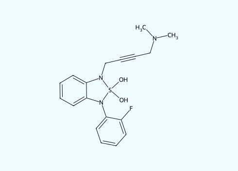 CN(C)CC#CCN1c2ccccc2N(c2ccccc2F)S1(O)O